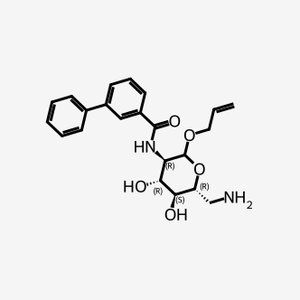 C=CCOC1O[C@H](CN)[C@@H](O)[C@H](O)[C@H]1NC(=O)c1cccc(-c2ccccc2)c1